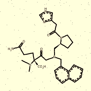 CN(C)[C@@](CCC(N)=O)(C(=O)O)C(=O)CN(Cc1cccc2ccccc12)C[C@@H]1CCCN1C(=O)Cc1c[nH]cn1